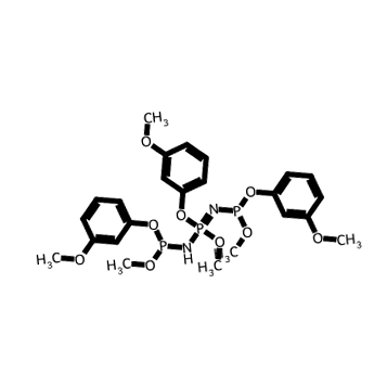 COc1cccc(OP(N=P(NP(OC)Oc2cccc(OC)c2)(OC)Oc2cccc(OC)c2)OC)c1